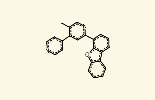 Cc1cnc(-c2cccc3c2oc2ccccc23)cc1-c1ccncc1